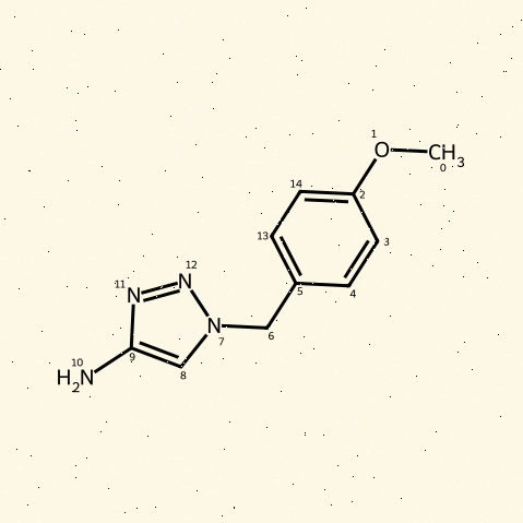 COc1ccc(Cn2cc(N)nn2)cc1